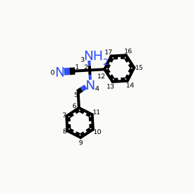 N#CC(N)(N=Cc1ccccc1)c1ccccc1